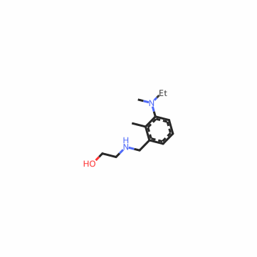 CCN(C)c1cccc(CNCCO)c1C